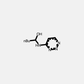 CCCCC(O)Nc1ccnnn1